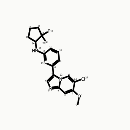 COc1cc2ncc(-c3cccc(NC4CCCC4(F)F)n3)n2cc1Cl